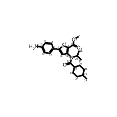 COC(=O)c1sc(-c2ccc(N)cc2)cc1N(C(=O)C1CCC(C)CC1)C(C)C